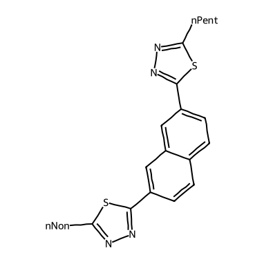 CCCCCCCCCc1nnc(-c2ccc3ccc(-c4nnc(CCCCC)s4)cc3c2)s1